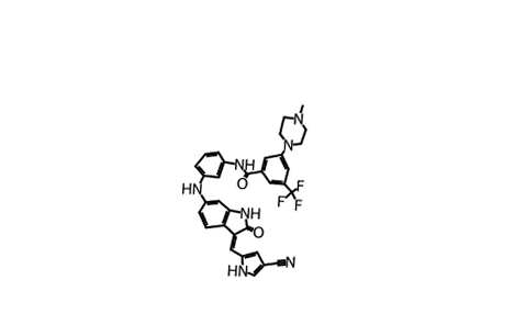 CN1CCN(c2cc(C(=O)Nc3cccc(Nc4ccc5c(c4)NC(=O)C5=Cc4cc(C#N)c[nH]4)c3)cc(C(F)(F)F)c2)CC1